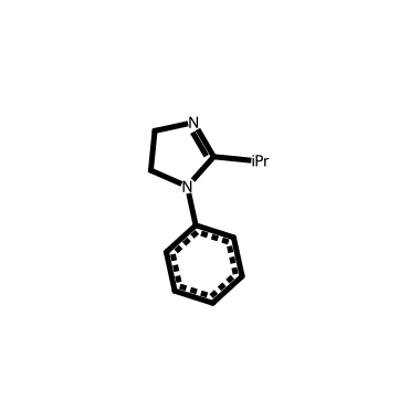 CC(C)C1=NCCN1c1ccccc1